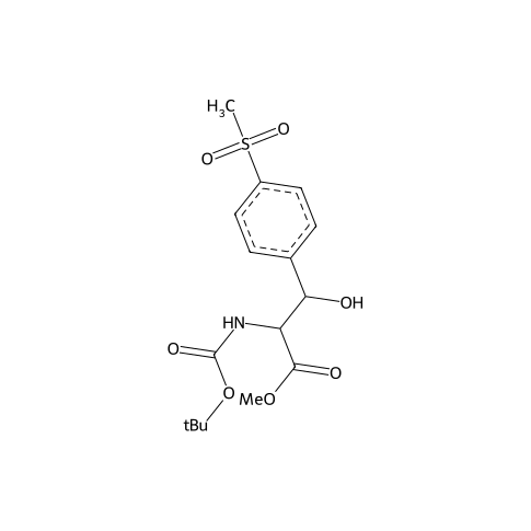 COC(=O)C(NC(=O)OC(C)(C)C)C(O)c1ccc(S(C)(=O)=O)cc1